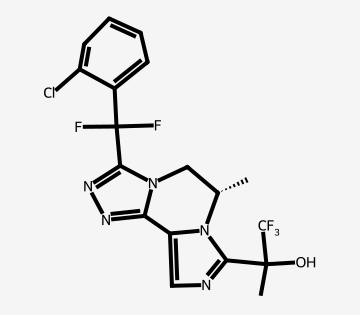 C[C@H]1Cn2c(nnc2C(F)(F)c2ccccc2Cl)-c2cnc(C(C)(O)C(F)(F)F)n21